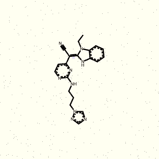 CCN1/C(=C(\C#N)c2ccnc(NCCCn3cncn3)n2)Nc2ccccc21